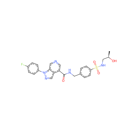 C[C@@H](O)CNS(=O)(=O)c1ccc(CNC(=O)c2cncc3c2cnn3-c2ccc(F)cc2)cc1